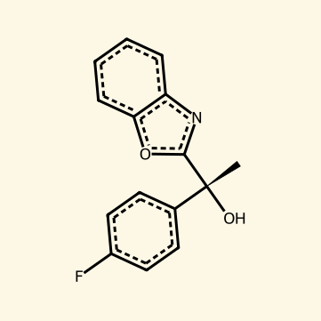 C[C@@](O)(c1ccc(F)cc1)c1nc2ccccc2o1